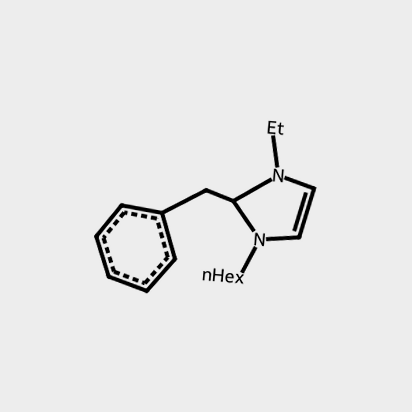 CCCCCCN1C=CN(CC)C1Cc1ccccc1